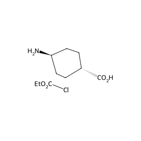 CCOC(=O)Cl.N[C@H]1CC[C@H](C(=O)O)CC1